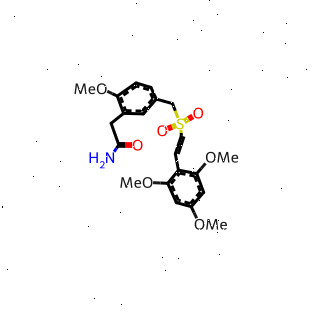 COc1cc(OC)c(C=CS(=O)(=O)Cc2ccc(OC)c(CC(N)=O)c2)c(OC)c1